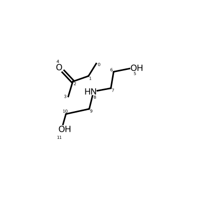 CCC(C)=O.OCCNCCO